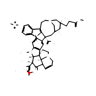 CC[C@]12C=CCN3CC[C@@]4(c5cc([C@@]6(C(=O)OC)C[C@H]7CN(CCc8c6[nH]c6ccccc86)C[C@](O)(CCC(=O)OC)C7)c(OC)cc5N(C)[C@H]4[C@@](O)(C(=O)OC)[C@@H]1OC(C)=O)[C@@H]32.O=S(=O)(O)O